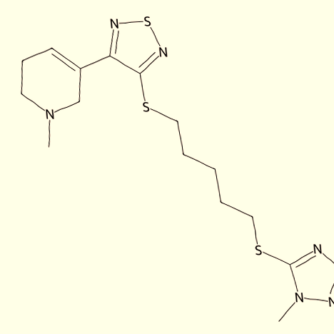 CN1CCC=C(c2nsnc2SCCCCCSc2nnnn2C)C1